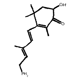 CC1=C(/C=C/C(C)=C/CP)C(C)(C)CC(O)C1=O